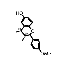 COc1ccc(C2Oc3ccc(O)cc3[C@H](C)[C@@H]2C)cc1